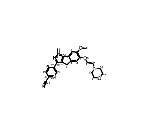 COc1cc2c(cc1OCCN1CCOCC1)Cc1c(-c3ccc(C#N)nc3)n[nH]c1-2